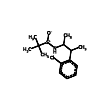 CC(N[S+]([O-])C(C)(C)C)C(C)c1ccccc1Cl